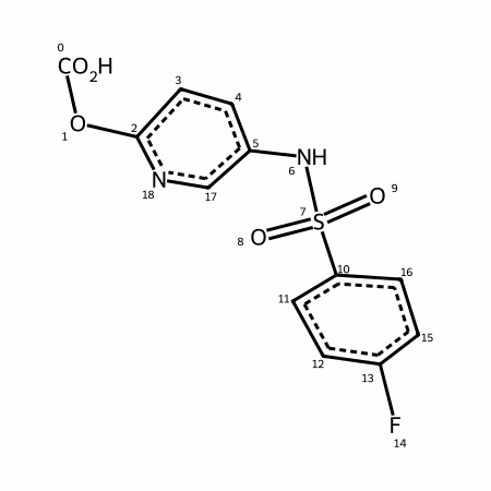 O=C(O)Oc1ccc(NS(=O)(=O)c2ccc(F)cc2)cn1